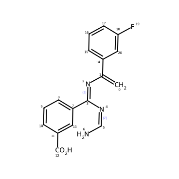 C=C(/N=C(\N=C/N)c1cccc(C(=O)O)c1)c1cccc(F)c1